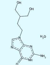 Nc1nc2c(ncn2CCC(CO)CO)c(=O)[nH]1.O